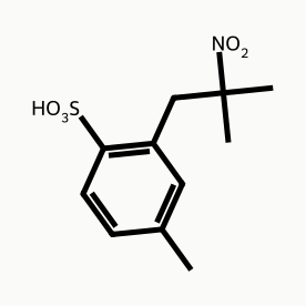 Cc1ccc(S(=O)(=O)O)c(CC(C)(C)[N+](=O)[O-])c1